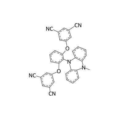 CN1c2ccccc2N(c2c(Oc3cc(C#N)cc(C#N)c3)cccc2Oc2cc(C#N)cc(C#N)c2)c2ccccc21